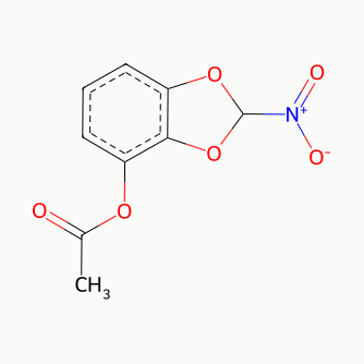 CC(=O)Oc1cccc2c1OC([N+](=O)[O-])O2